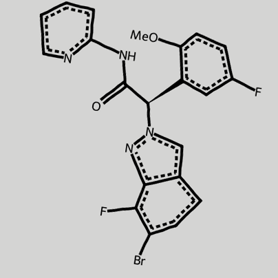 COc1ccc(F)cc1[C@H](C(=O)Nc1ccccn1)n1cc2ccc(Br)c(F)c2n1